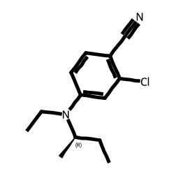 CC[C@@H](C)N(CC)c1ccc(C#N)c(Cl)c1